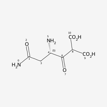 NC(=O)C[C@H](N)C(=O)C(C(=O)O)C(=O)O